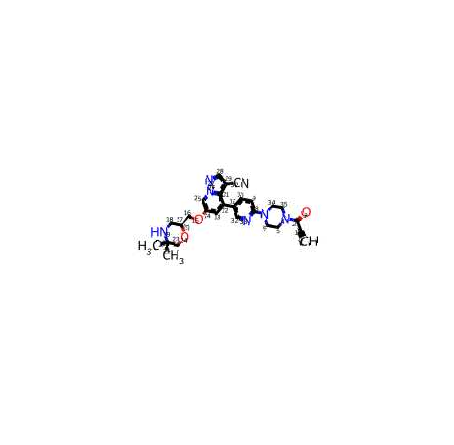 C#CC(=O)N1CCN(c2ccc(-c3cc(OC[C@@H]4CNC(C)(C)CO4)cn4ncc(C#N)c34)cn2)CC1